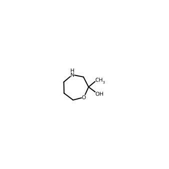 CC1(O)CNCCCO1